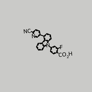 N#Cc1ccc(-c2cccc3c2c2ccccc2n3-c2ccc(C(=O)O)c(F)c2)cn1